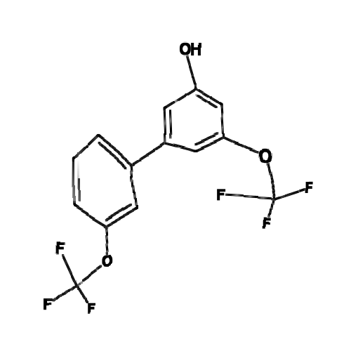 Oc1cc(OC(F)(F)F)cc(-c2cccc(OC(F)(F)F)c2)c1